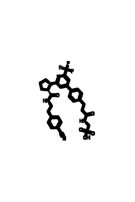 N#Cc1ccc(CCNC(=O)[C@@H]2CCCN2c2cc(-c3ccc(CCC(=O)NCS(=O)(=O)O)cc3)cc(C(F)(F)F)n2)cc1